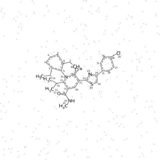 CCc1cccc(CC)c1-n1c(C(C)C)c(C(=O)NC)cc(-c2nc(-c3ccc(Cl)cc3)cs2)c1=O